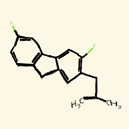 C[C](C)Cc1cc2c(cc1F)-c1cc(F)ccc1C2